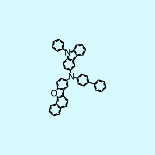 c1ccc(-c2ccc(N(c3ccc4oc5c6ccccc6ccc5c4c3)c3ccc4c(c3)c3ccccc3n4-c3ccccc3)cc2)cc1